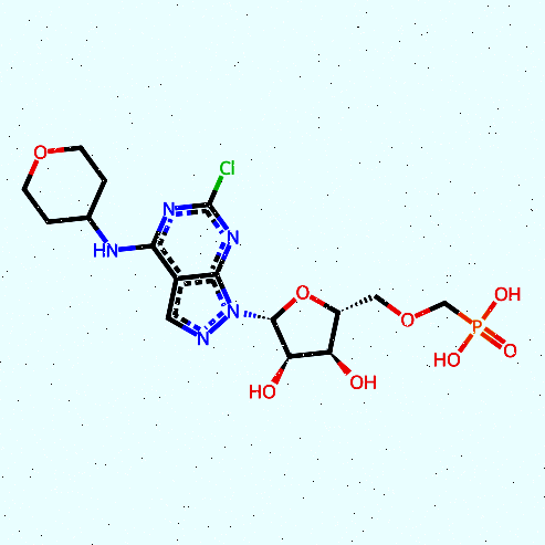 O=P(O)(O)COC[C@H]1O[C@@H](n2ncc3c(NC4CCOCC4)nc(Cl)nc32)[C@H](O)[C@@H]1O